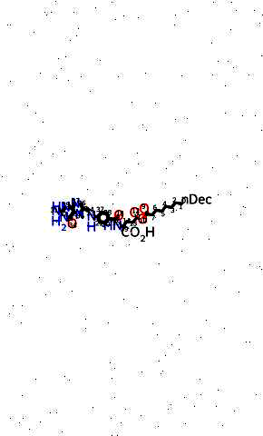 CCCCCCCCCCCCCCCCCC(=O)OC(=O)CC[C@H](NC(=O)c1ccc(NCc2cnc3[nH]c(N)nc(=O)c3n2)cc1)C(=O)O